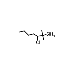 CCCCC(Cl)C(C)(C)[SiH3]